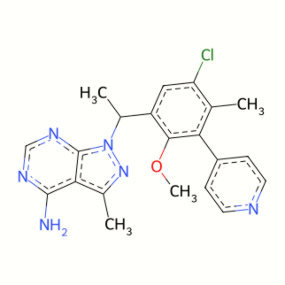 COc1c(C(C)n2nc(C)c3c(N)ncnc32)cc(Cl)c(C)c1-c1ccncc1